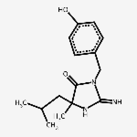 CC(C)CC1(C)NC(=N)N(Cc2ccc(O)cc2)C1=O